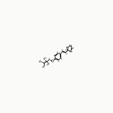 FC(F)C(F)(F)COc1ccc(C=CC2=N[N]C=N2)cc1